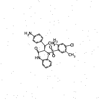 [CH2]C(c1ccc(N)cc1)[C@@H]1C(=O)Nc2ccccc2N1S(=O)(=O)c1cc(C)c(Cl)cc1C